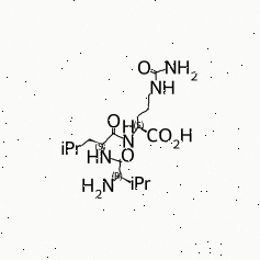 CC(C)C[C@H](NC(=O)[C@H](N)C(C)C)C(=O)N[C@@H](CCCNC(N)=O)C(=O)O